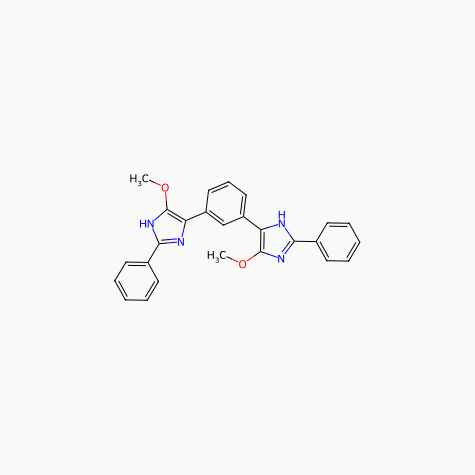 COc1nc(-c2ccccc2)[nH]c1-c1cccc(-c2nc(-c3ccccc3)[nH]c2OC)c1